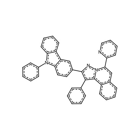 c1ccc(-c2c(-c3ccc4c(c3)c3ccccc3n4-c3ccccc3)nn3c(-c4ccccn4)cc4ccccc4c23)cc1